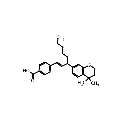 CCCCCC(/C=C/c1ccc(C(=O)O)cc1)c1ccc2c(c1)SCCC2(C)C